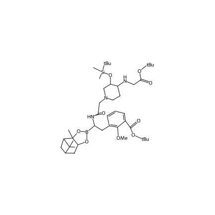 COc1c(CC(NC(=O)CN2CCC(NCC(=O)OC(C)(C)C)C(O[Si](C)(C)C(C)(C)C)C2)B2OC3CC4CC(C4(C)C)C3(C)O2)cccc1C(=O)OC(C)(C)C